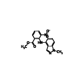 COC(=O)c1cccc([N+](=O)[O-])c1Nc1cccc2c1cnn2C